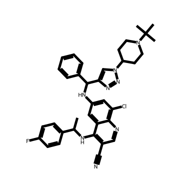 CC(Nc1c(C#N)cnc2c(Cl)cc(NC(c3ccccc3)c3cn(C4CCN(C(C)(C)C)CC4)nn3)cc12)c1ccc(F)cc1